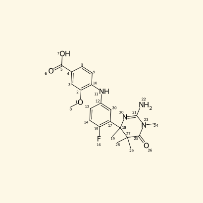 COc1cc(C(=O)O)ccc1Nc1ccc(F)c(C2(C)N=C(N)N(C)C(=O)C2(C)C)c1